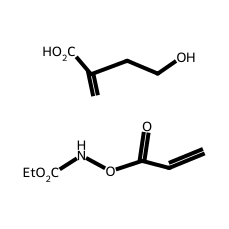 C=C(CCO)C(=O)O.C=CC(=O)ONC(=O)OCC